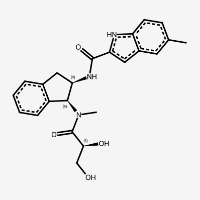 Cc1ccc2[nH]c(C(=O)N[C@@H]3Cc4ccccc4[C@@H]3N(C)C(=O)[C@@H](O)CO)cc2c1